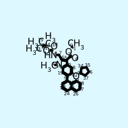 CCOC(=O)c1c(CNC(=O)OC(C)(C)C)n(C)c2cc(-c3cccc4ccccc34)c(OC3CCCC3)cc12